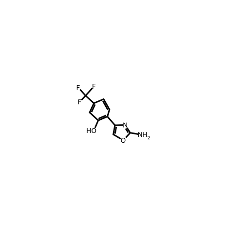 Nc1nc(-c2ccc(C(F)(F)F)cc2O)co1